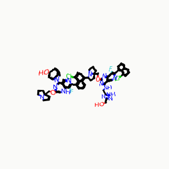 OCc1n[nH]c(CNc2nc(OCC34CCCN3C(c3ccc(Cl)c5c(-c6ncc7c(c6F)NC=C(OCC68CCCN6CCC8)N=C7N6CC7CC(O)CC6C7)cccc35)CC4)nc3c(F)c(-c4cccc5cccc(Cl)c45)ncc23)n1